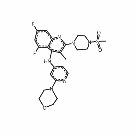 Cc1c(N2CCN(S(C)(=O)=O)CC2)nc2cc(F)cc(F)c2c1Nc1ccnc(N2CCOCC2)c1